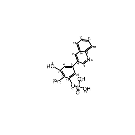 CC(C)c1c(O)cc(-c2cnc3ccccc3c2)cc1OP(=O)(O)O